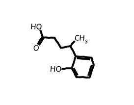 CC(CCC(=O)O)c1ccccc1O